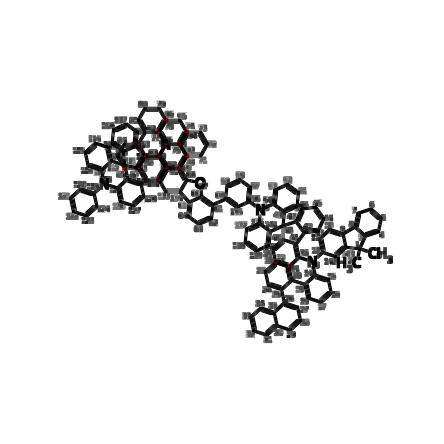 CC1(C)c2ccccc2-c2ccc(N(c3ccccc3-c3ccccc3-c3cccc4ccccc34)c3cccc4c3-c3ccccc3C43c4ccccc4N(c4cccc(-c5cccc6c5oc5c(-c7ccccc7N(c7ccccc7-c7ccccc7-c7cccc8ccccc78)c7cccc8c7-c7ccccc7C87c8ccccc8N(c8ccccc8)c8ccccc87)cccc56)c4)c4ccccc43)cc21